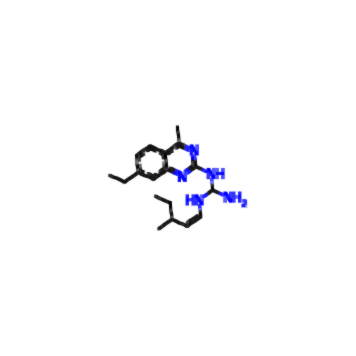 CCc1ccc2c(C)nc(NC(N)N/C=C\C(C)CC)nc2c1